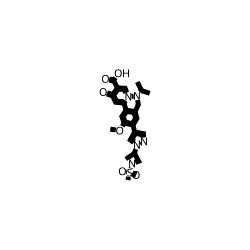 COc1cc2c(cc1-c1cnn(C3CN(S(C)(=O)=O)C3)c1)CN(C(C)C)n1cc(C(=O)O)c(=O)cc1-2